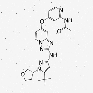 CC(=O)Nc1cc(Oc2ccn3nc(Nc4cc(C(C)(C)C)n(C5CCOC5)n4)nc3c2)ccn1